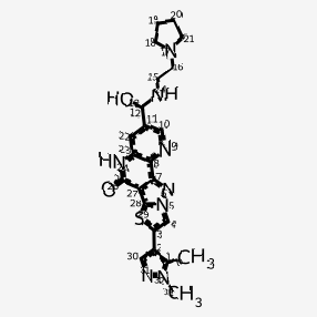 Cc1c(-c2cn3nc4c5ncc(C(O)NCCN6CCCC6)cc5[nH]c(=O)c4c3s2)cnn1C